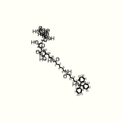 O=C(CCCCCNC(=O)CCCCCNC(c1ccccc1)(c1ccccc1)c1ccccc1)N/C=C/Cc1cn([C@H]2C[C@H](O)[C@@H](COP(=O)(O)OP(=O)(O)OP(=O)(O)O)O2)c(=O)[nH]c1=O